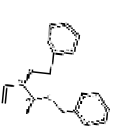 C=C[C@@H](OCc1ccccc1)[C@H](C)OCc1ccccc1